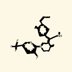 C=C1CCN(c2ncc(C(F)(F)F)cc2F)C/C1=C(/NC)c1ccc(/C=C\C)c(C)c1